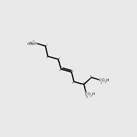 CCCCCCCCCCCCC=CCC(CC(=O)O)C(=O)O